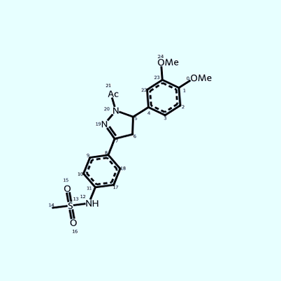 COc1ccc(C2CC(c3ccc(NS(C)(=O)=O)cc3)=NN2C(C)=O)cc1OC